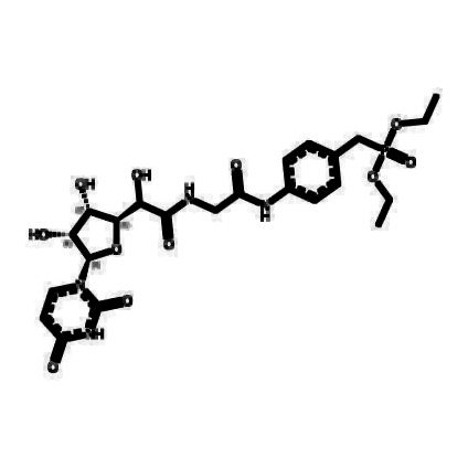 CCOP(=O)(Cc1ccc(NC(=O)CNC(=O)C(O)[C@H]2O[C@@H](n3ccc(=O)[nH]c3=O)[C@H](O)[C@@H]2O)cc1)OCC